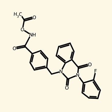 CC(=O)ONC(=O)c1ccc(Cn2c(=O)n(-c3ccccc3F)c(=O)c3ccccc32)cc1